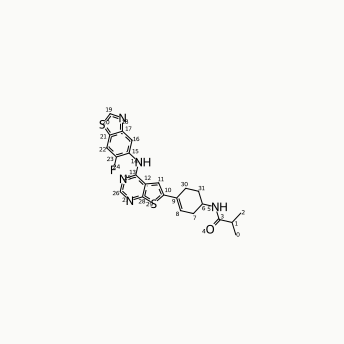 CC(C)C(=O)NC1CC=C(c2cc3c(Nc4cc5ncsc5cc4F)ncnc3s2)CC1